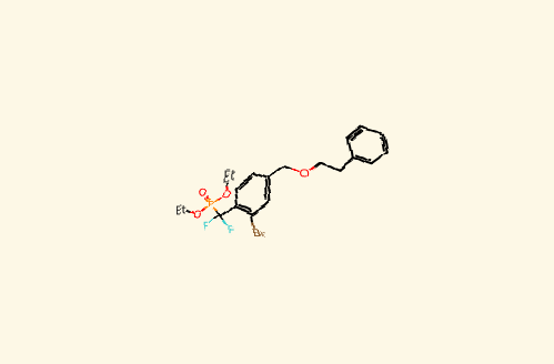 CCOP(=O)(OCC)C(F)(F)c1ccc(COCCc2ccccc2)cc1Br